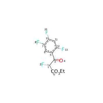 CCOC(=O)C(F)C(=O)c1cc(F)c(F)cc1F